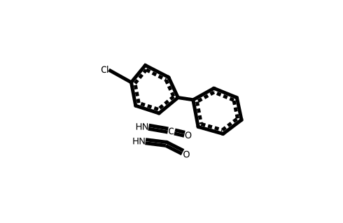 Clc1ccc(-c2ccccc2)cc1.N=C=O.N=C=O